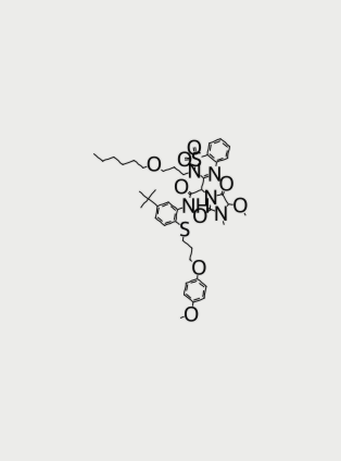 CCCCCCOCCCN1C(C(C(=O)Nc2cc(C(C)(C)C)ccc2SCCCOc2ccc(OC)cc2)N2C(=O)C(OC)N(C)C2=O)=Nc2ccccc2S1(=O)=O